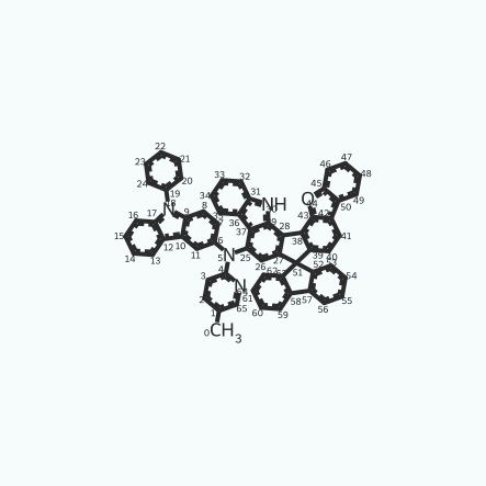 Cc1ccc(N(c2ccc3c(c2)c2ccccc2n3-c2ccccc2)c2cc3c(c4[nH]c5ccccc5c24)-c2c(ccc4c2oc2ccccc24)C32c3ccccc3-c3ccccc32)nc1